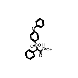 O=C(NO)C(c1ccccc1)S(=O)(=O)c1ccc(Oc2ccccc2)cc1